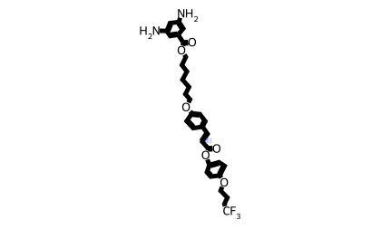 Nc1cc(N)cc(C(=O)OCCCCCCCOc2ccc(/C=C/C(=O)Oc3ccc(OCCCC(F)(F)F)cc3)cc2)c1